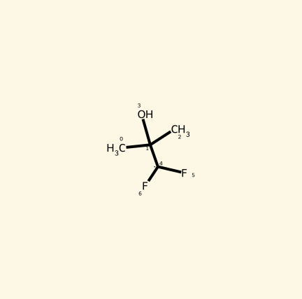 CC(C)(O)[C](F)F